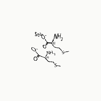 CSCC[C@H](N)C(=O)[O-].CSCC[C@H](N)C(=O)[O-].[Se+2]